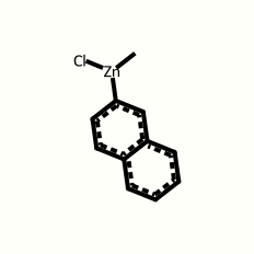 [CH3][Zn]([Cl])[c]1ccc2ccccc2c1